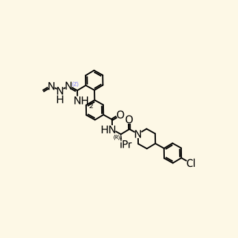 C=NN/N=C(\N)c1ccccc1-c1cccc(C(=O)N[C@@H](C(=O)N2CCC(c3ccc(Cl)cc3)CC2)C(C)C)c1